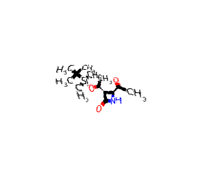 CC(=O)[C@H]1NC(=O)[C@@H]1C(C)O[Si](C)(C)C(C)(C)C